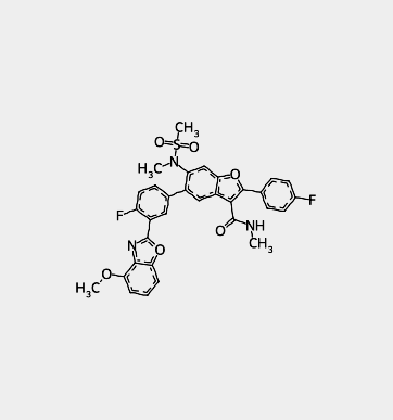 CNC(=O)c1c(-c2ccc(F)cc2)oc2cc(N(C)S(C)(=O)=O)c(-c3ccc(F)c(-c4nc5c(OC)cccc5o4)c3)cc12